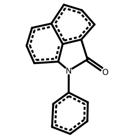 O=C1c2cccc3cccc(c23)N1c1ccccc1